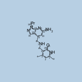 Cc1cc(C)c(CNCc2cc(N)nc3c2cnn3C(C)C)c(=O)[nH]1